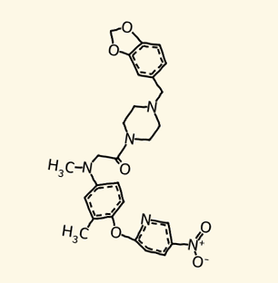 Cc1cc(N(C)CC(=O)N2CCN(Cc3ccc4c(c3)OCO4)CC2)ccc1Oc1ccc([N+](=O)[O-])cn1